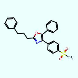 CS(=O)(=O)c1ccc(-c2nc(CCCc3ccccc3)oc2-c2ccccc2)cc1